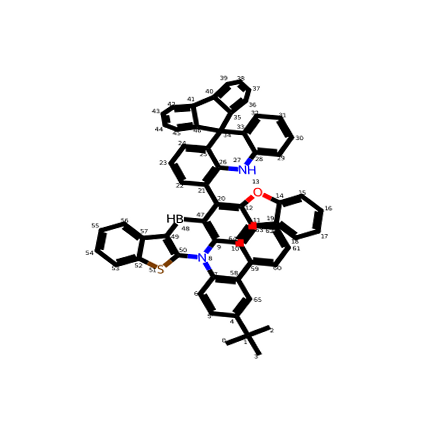 CC(C)(C)c1ccc(N2c3cc4c(oc5ccccc54)c(-c4cccc5c4Nc4ccccc4C54c5ccccc5-c5ccccc54)c3Bc3c2sc2ccccc32)c(-c2ccccc2)c1